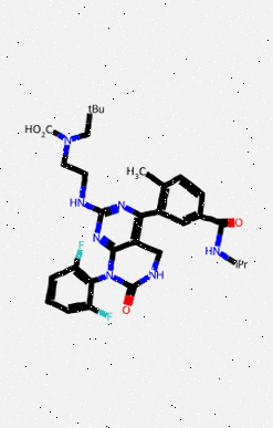 Cc1ccc(C(=O)NC(C)C)cc1-c1nc(NCCN(CC(C)(C)C)C(=O)O)nc2c1CNC(=O)N2c1c(F)cccc1F